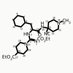 CCOC(=O)/N=C(\NC(CC1CCCCC1)C(=O)NC1(C#N)CCN(C)CC1)N1CCC(C(=O)OCC)CC1